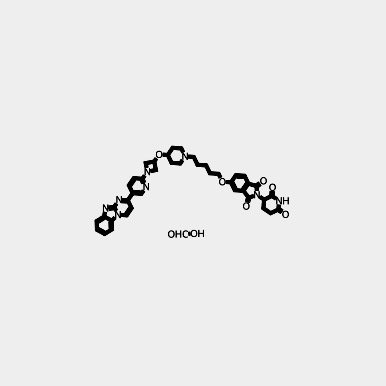 O=C1CCC(N2C(=O)c3ccc(OCCCCCN4CCC(OC5CN(c6ccc(-c7ccn8c(n7)nc7ccccc78)cn6)C5)CC4)cc3C2=O)C(=O)N1.O=CO